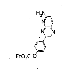 CCOC(=O)Oc1ccc(-c2cnc3ccc(N)nc3n2)cc1